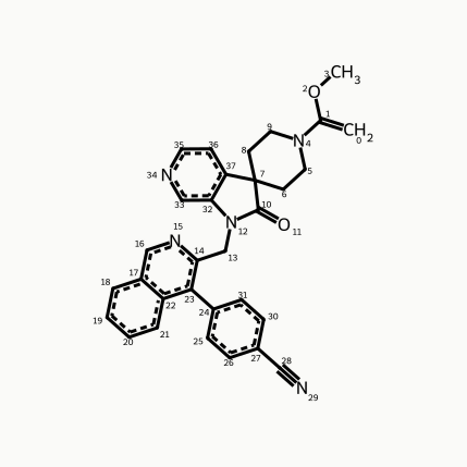 C=C(OC)N1CCC2(CC1)C(=O)N(Cc1ncc3ccccc3c1-c1ccc(C#N)cc1)c1cnccc12